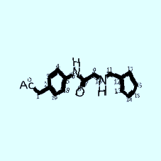 CC(=O)Cc1ccc(NC(=O)CNCc2ccccc2)cc1